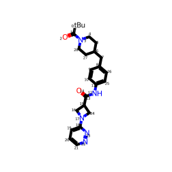 CC(C)(C)C(=O)N1CCC(Cc2ccc(NC(=O)C3CN(c4cccnn4)C3)cc2)CC1